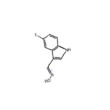 O/N=C/c1c[nH]c2ccc(F)cc12